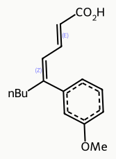 CCCC/C(=C/C=C/C(=O)O)c1cccc(OC)c1